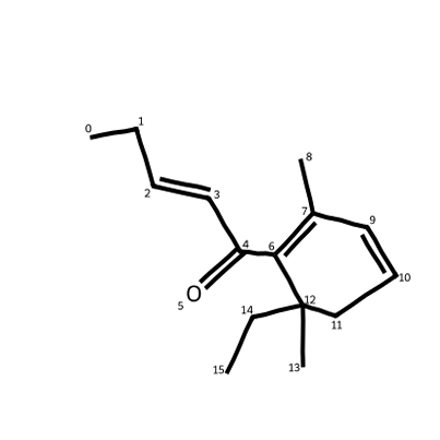 CC/C=C/C(=O)C1=C(C)C=CCC1(C)CC